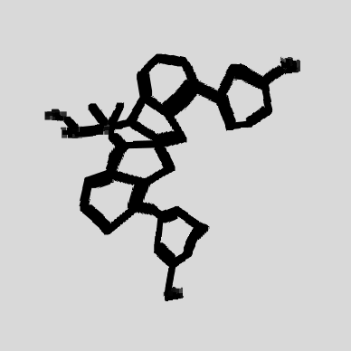 CCCC[SiH]=[Hf]([CH3])([CH3])([CH]1C=Cc2c(-c3cccc(C(C)(C)C)c3)cccc21)[CH]1C=Cc2c(-c3cccc(C(C)(C)C)c3)cccc21